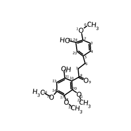 COc1ccc(CCC(=O)c2c(O)cc(OC)c(OC)c2OC)cc1O